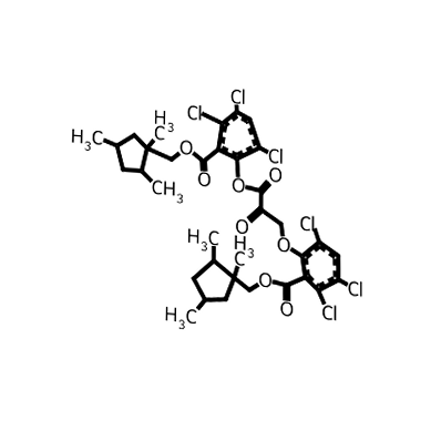 CC1CC(C)C(C)(COC(=O)c2c(Cl)c(Cl)cc(Cl)c2OCC(=O)C(=O)Oc2c(Cl)cc(Cl)c(Cl)c2C(=O)OCC2(C)CC(C)CC2C)C1